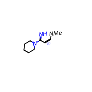 CN/C=C\C(=N)N1CCCCC1